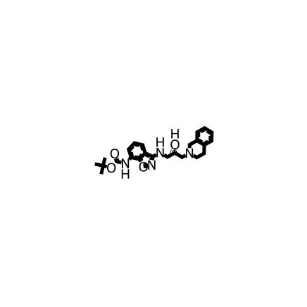 CC(C)(C)OC(=O)Nc1cccc2c(NC[C@H](O)CN3CCc4ccccc4C3)noc12